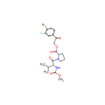 COC(=O)NC(C(=O)N1CCCC1C(=O)OCC(=O)c1ccc(Br)c(F)c1)C(C)C